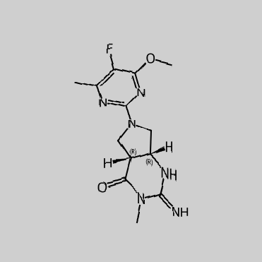 COc1nc(N2C[C@@H]3NC(=N)N(C)C(=O)[C@@H]3C2)nc(C)c1F